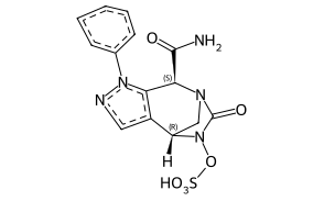 NC(=O)[C@@H]1c2c(cnn2-c2ccccc2)[C@@H]2CN1C(=O)N2OS(=O)(=O)O